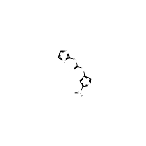 O=C(Nc1nccs1)Oc1csc([N+](=O)[O-])c1